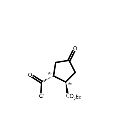 CCOC(=O)[C@@H]1CC(=O)C[C@H]1C(=O)Cl